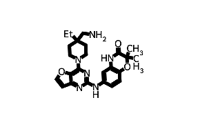 CCC1(CN)CCN(c2nc(Nc3ccc4c(c3)NC(=O)C(C)(C)O4)nc3ccoc23)CC1